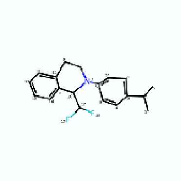 CC(C)c1ccc(N2CCc3ccccc3C2C(F)F)cc1